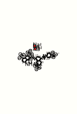 CC(=O)Nc1ccc(S(=O)(=O)[O-])c2c1C(=O)/C(=N\Nc1ccc(N=Nc3ccc(S(=O)(=O)[O-])cc3)c3ccc(S(=O)(=O)[O-])cc13)C(S(=O)(=O)[O-])=C2.[Na+].[Na+].[Na+].[Na+]